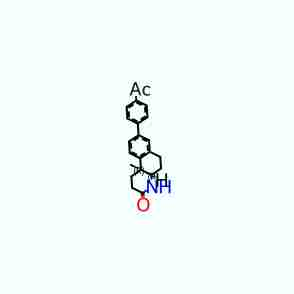 CC(=O)c1ccc(-c2ccc3c(c2)CC[C@H]2NC(=O)CC[C@]32C)cc1